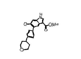 COC(=O)c1c[nH]c2cc(Cl)c(-c3ccc(C4CCOCC4)cc3)cc12